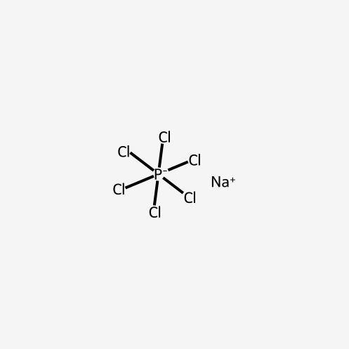 Cl[P-](Cl)(Cl)(Cl)(Cl)Cl.[Na+]